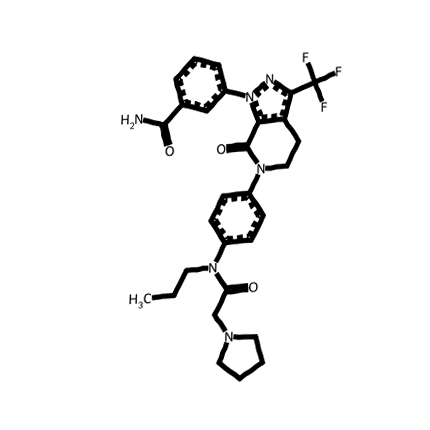 CCCN(C(=O)CN1CCCC1)c1ccc(N2CCc3c(C(F)(F)F)nn(-c4cccc(C(N)=O)c4)c3C2=O)cc1